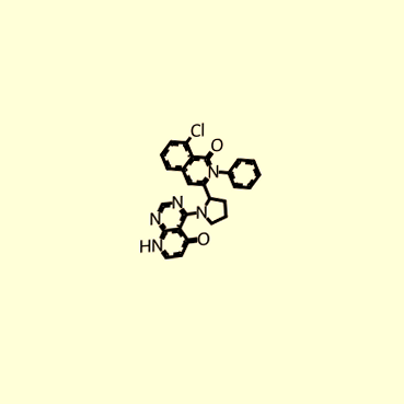 O=c1cc[nH]c2ncnc(N3CCCC3c3cc4cccc(Cl)c4c(=O)n3-c3ccccc3)c12